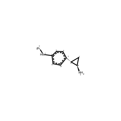 CC(C)Nc1ccc([C@@H]2C[C@H]2N)cc1